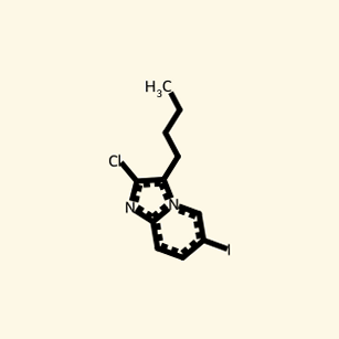 CCCCc1c(Cl)nc2ccc(I)cn12